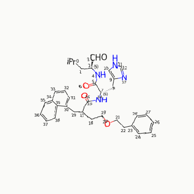 CC(C)C[C@@H](C=O)NC(=O)[C@H](Cc1c[nH]cn1)NC(=O)C(CCOCCc1ccccc1)Cc1cccc2ccccc12